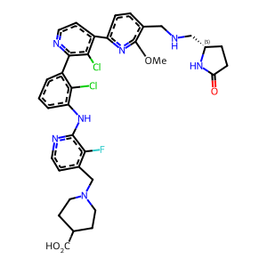 COc1nc(-c2ccnc(-c3cccc(Nc4nccc(CN5CCC(C(=O)O)CC5)c4F)c3Cl)c2Cl)ccc1CNC[C@@H]1CCC(=O)N1